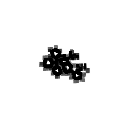 CNc1nn(C(c2ccccc2)(c2ccccc2)c2ccccc2)c2ccc(-c3ccccc3N)cc12